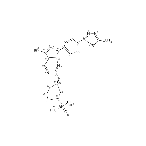 Cc1nnc(-c2ccc(-n3nc(Br)c4cnc(N[C@@H]5CCC[C@@H](P(C)(C)=O)C5)nc43)cc2)s1